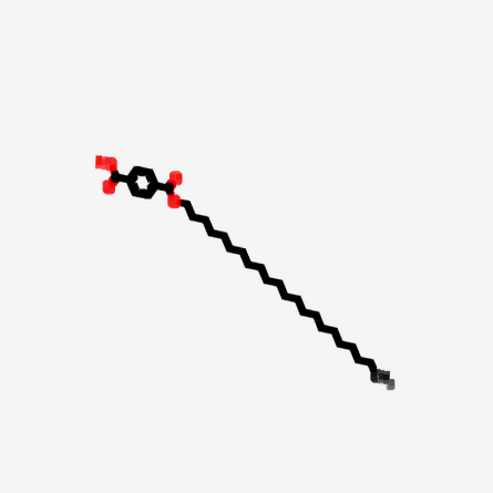 CCCCCCCCCCCCCCCCCCCCCCOC(=O)c1ccc(C(=O)O)cc1